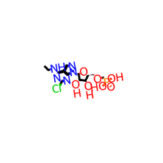 CCNc1nc(Cl)nc2c1cnn2[C@@H]1O[C@H](COCP(=O)(O)O)[C@@H](O)[C@H]1O